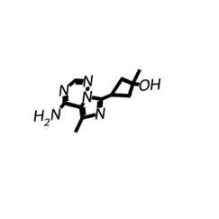 Cc1nc(C2CC(C)(O)C2)n2ncnc(N)c12